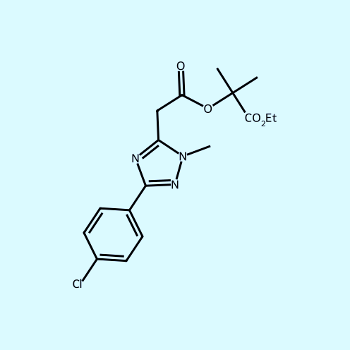 CCOC(=O)C(C)(C)OC(=O)Cc1nc(-c2ccc(Cl)cc2)nn1C